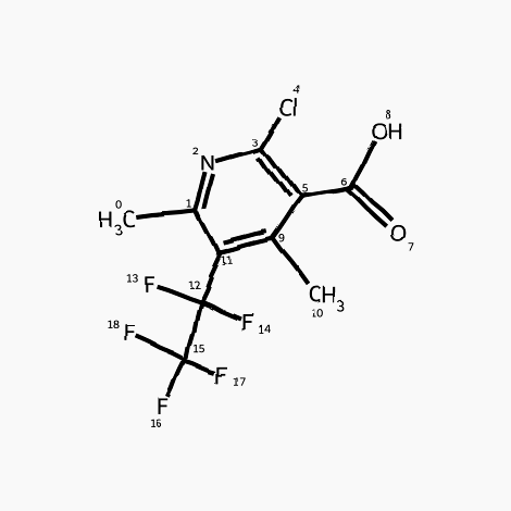 Cc1nc(Cl)c(C(=O)O)c(C)c1C(F)(F)C(F)(F)F